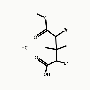 COC(=O)C(Br)C(C)(C)C(Br)C(=O)O.Cl